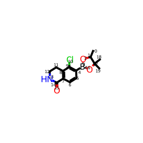 CC1OB(c2ccc3c(c2Cl)CCNC3=O)OC1(C)C